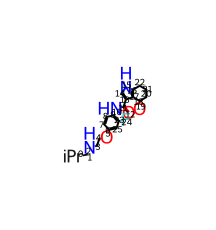 CC(C)CNCCOc1ccc(NC(=O)c2c[nH]c3c2C(=O)CCC3)c(F)c1